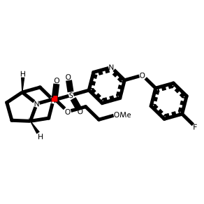 COCCOC(=O)N1[C@@H]2CC[C@H]1CN(S(=O)(=O)c1ccc(Oc3ccc(F)cc3)nc1)C2